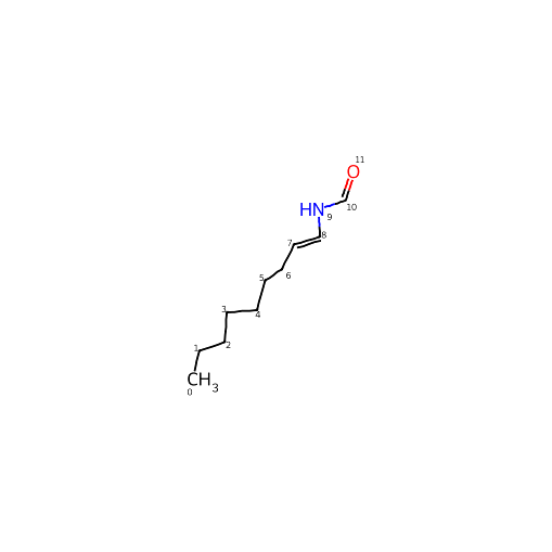 CCCCCCCC=CNC=O